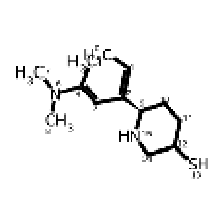 C/C=C(\C=C(/C)N(C)C)[C@H]1CCC(S)CN1